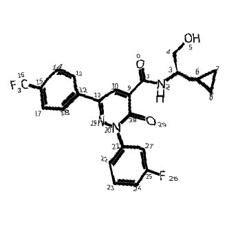 O=C(N[C@@H](CO)C1CC1)c1cc(-c2ccc(C(F)(F)F)cc2)nn(-c2cccc(F)c2)c1=O